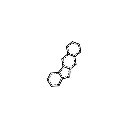 c1ccc2cn3cc4ccccc4c3cc2c1